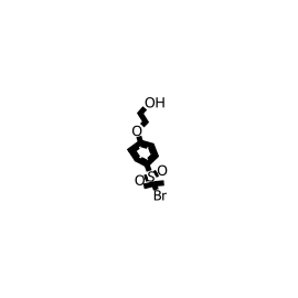 CC(C)(Br)S(=O)(=O)c1ccc(OCCO)cc1